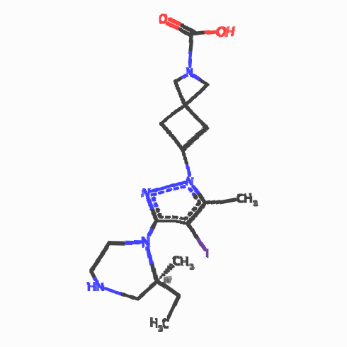 CC[C@@]1(C)CNCCN1c1nn(C2CC3(C2)CN(C(=O)O)C3)c(C)c1I